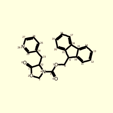 O=C1OCN(C(=O)OCC2c3ccccc3-c3ccccc32)C1Cc1cccnc1